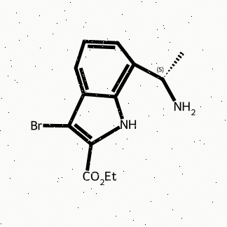 CCOC(=O)c1[nH]c2c([C@H](C)N)cccc2c1Br